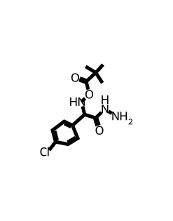 CC(C)(C)C(=O)ONC(C(=O)NN)c1ccc(Cl)cc1